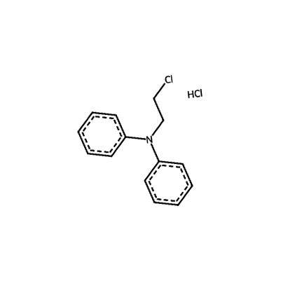 Cl.ClCCN(c1ccccc1)c1ccccc1